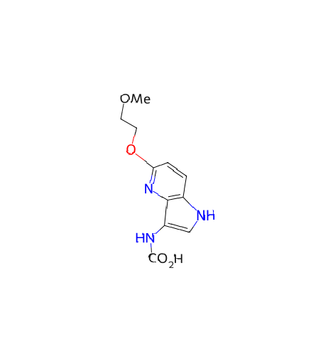 COCCOc1ccc2[nH]cc(NC(=O)O)c2n1